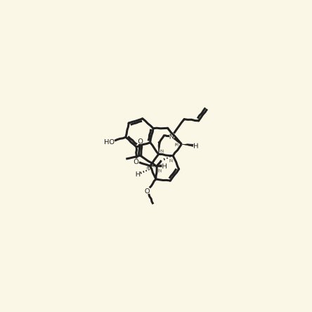 C=CCN1CC[C@]23c4c5ccc(O)c4O[C@H]2C2(OC)C=C[C@]3(C[C@@H]2C(C)=O)[C@H]1C5